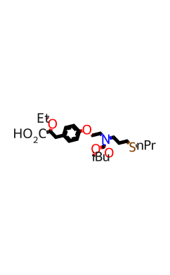 CCCSCCCN(CCOc1ccc(CC(OCC)C(=O)O)cc1)C(=O)OC(C)CC